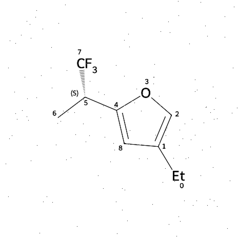 CCc1coc([C@H](C)C(F)(F)F)c1